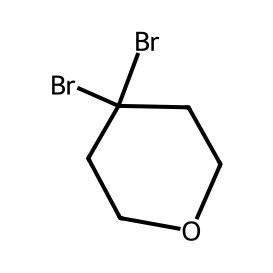 BrC1(Br)CCOCC1